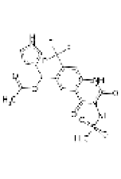 CC(=O)OC(c1cc[nH]c1)c1cc2c(=O)n(NS(C)(=O)=O)c(=O)[nH]c2cc1C(F)(F)F